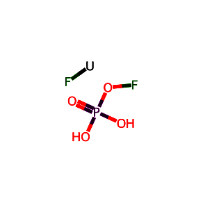 O=P(O)(O)OF.[F][U]